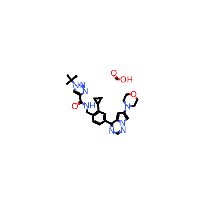 CC(C)(C)n1cc(C(=O)NCc2ccc(-c3ncnn4cc(N5CCOCC5)cc34)cc2C2CC2)nn1.O=CO